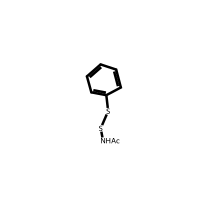 CC(=O)NSSc1ccccc1